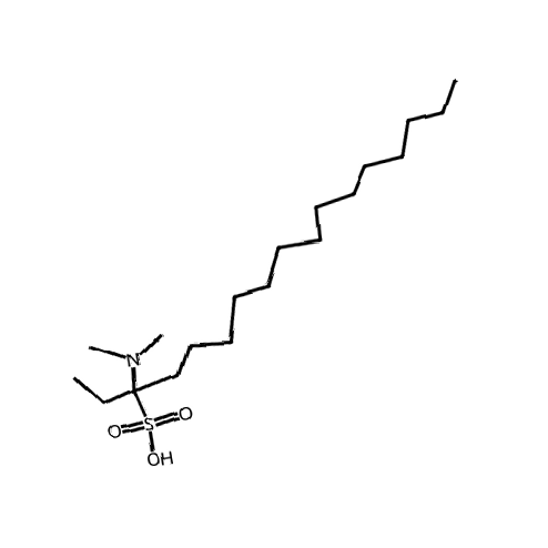 CCCCCCCCCCCCCCC(CC)(N(C)C)S(=O)(=O)O